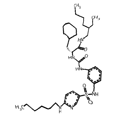 CCCCCCNc1ccc(S(=O)(=O)Nc2cccc(NC(=O)N[C@H](CC3CCCCC3)C(=O)NCC(CC)CCCC)c2)cn1